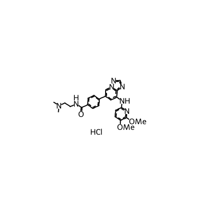 COc1ccc(Nc2cc(-c3ccc(C(=O)NCCN(C)C)cc3)cn3ncnc23)nc1OC.Cl